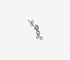 CCCC(=O)OCCc1nccc(N2C[C@@H](C)N(C(=O)CCl)[C@@H](C)C2)n1